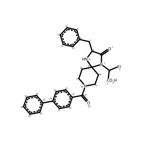 CCC(C(=O)O)N1C(=O)C(Cc2ccccc2)NC12CCN(C(=O)c1ccc(-c3ccccc3)cc1)CC2